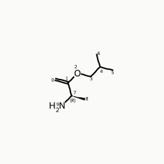 C=C(OCC(C)C)[C@@H](C)N